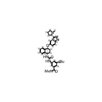 CNC(=O)c1cc(NC(=O)N[C@H]2CC[C@@H](Oc3ccc4nnc([C@@H]5CCCN5C)n4c3)c3ccccc32)cc(C(C)(C)C)c1